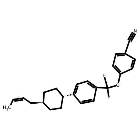 C/C=C\C[C@H]1CC[C@H](c2ccc(C(F)(F)Oc3ccc(C#N)cc3)cc2)CC1